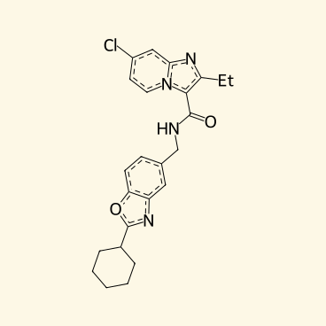 CCc1nc2cc(Cl)ccn2c1C(=O)NCc1ccc2oc(C3CCCCC3)nc2c1